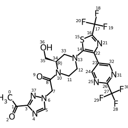 CC(=O)c1ncn(CC(=O)N2CCN(c3sc(C(F)(F)F)nc3-c3cnc(C(F)(F)F)nc3)C[C@@H]2CO)n1